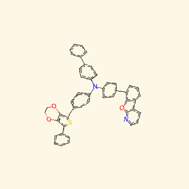 c1ccc(-c2ccc(N(c3ccc(-c4sc(-c5ccccc5)c5c4OCCO5)cc3)c3ccc(-c4cccc5c4oc4ncccc45)cc3)cc2)cc1